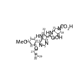 COc1ccc(-c2ncnc3c(C(=O)NC4CN(C(=O)O)CC4O)c(C)[nH]c23)c(OCC2CC2)c1